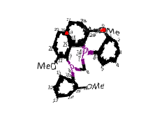 COc1ccccc1P(CP(c1ccccc1OC)c1ccccc1OC)c1ccccc1OC